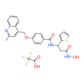 Cc1cc(COc2ccc(C(=O)NC(CC(=O)NO)c3cccs3)cc2)c2ccccc2n1.O=C(O)C(F)(F)F